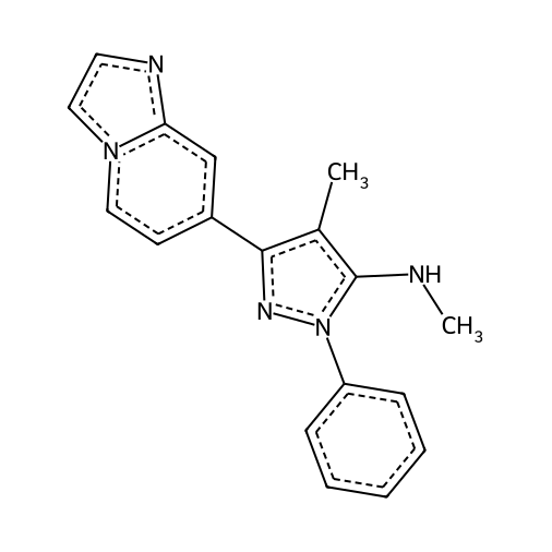 CNc1c(C)c(-c2ccn3ccnc3c2)nn1-c1ccccc1